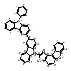 c1ccc(-n2c3ccccc3c3cc(-c4ccc5c(c4)c4ccccc4n5-c4nc5c(ccc6sc7ccccc7c65)s4)ccc32)cc1